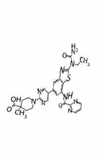 CCN(C(N)=O)c1nc2cc(-c3cnc(N4CCC(C)(C(=O)O)CC4)nc3)cc(NC(=O)c3ncccn3)c2s1